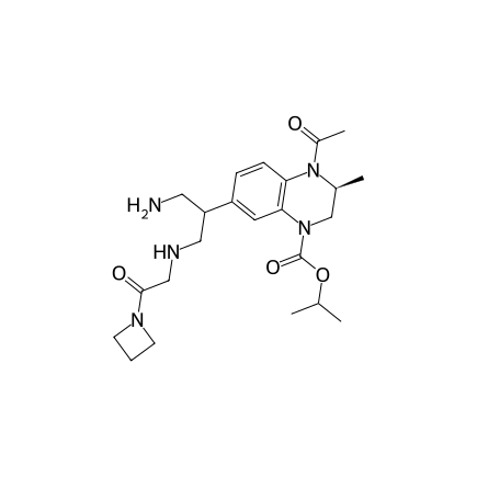 CC(=O)N1c2ccc(C(CN)CNCC(=O)N3CCC3)cc2N(C(=O)OC(C)C)C[C@@H]1C